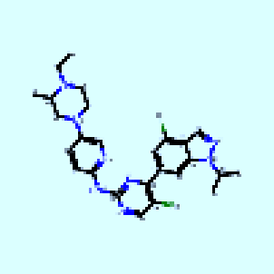 CCN1CCN(c2ccc(Nc3ncc(F)c(-c4cc(F)c5cnn(C(C)C)c5c4)n3)nc2)CC1C